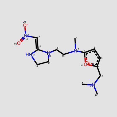 CN(C)Cc1ccc(N(C)CCN2CCNC2=C[N+](=O)[O-])o1